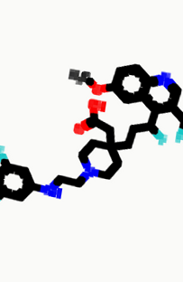 COc1ccc2ncc(CF)c(C(F)CCC3(CC(=O)O)CCN(CCNc4cc(F)cc(F)c4)CC3)c2c1